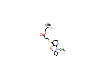 CCCCC(CC)COC(=O)CCSc1ccnc2c1OCC1(CCC1)N2C